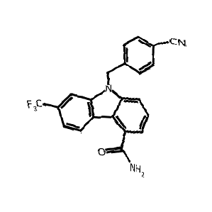 N#Cc1ccc(Cn2c3cc(C(F)(F)F)c[c]c3c3c(C(N)=O)cccc32)cc1